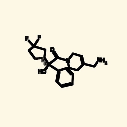 NCC1=CCN(C(=O)[C@](O)(c2ccccc2)[C@@H]2CCC(F)(F)C2)CC1